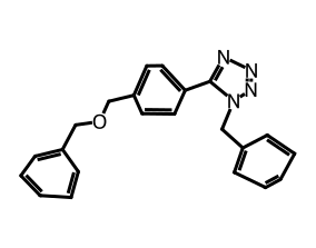 c1ccc(COCc2ccc(-c3nnnn3Cc3ccccc3)cc2)cc1